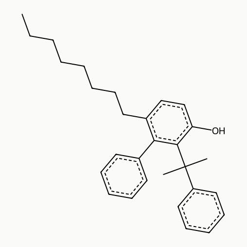 CCCCCCCCc1ccc(O)c(C(C)(C)c2ccccc2)c1-c1ccccc1